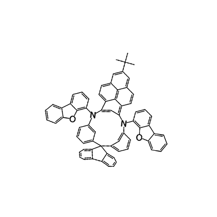 CC(C)(C)c1cc2ccc3c4cc(c5ccc(c1)c2c35)N(c1cccc2c1oc1ccccc12)c1cccc(c1)C1(c2cccc(c2)N4c2cccc3c2oc2ccccc23)c2ccccc2-c2ccccc21